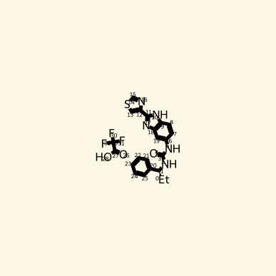 CC[C@@H](NC(=O)Nc1ccc2[nH]c(-c3cscn3)nc2c1)c1ccccc1.O=C(O)C(F)(F)F